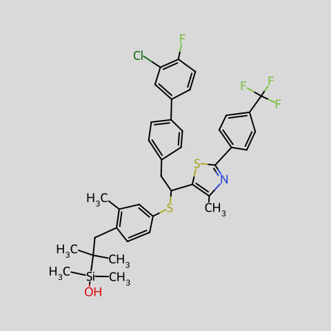 Cc1cc(SC(Cc2ccc(-c3ccc(F)c(Cl)c3)cc2)c2sc(-c3ccc(C(F)(F)F)cc3)nc2C)ccc1CC(C)(C)[Si](C)(C)O